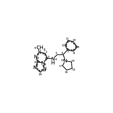 Cc1cc(NCC(c2ccccc2)N2CCCC2)n2ncnc2n1